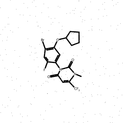 Cn1c(C(F)(F)F)cc(=O)n(-c2cc(OC3CCCC3)c(Br)cc2F)c1=O